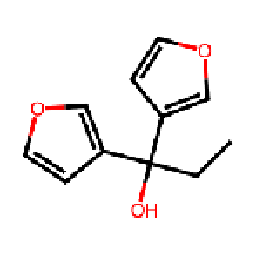 CCC(O)(c1ccoc1)c1ccoc1